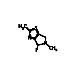 Cc1nc2c(s1)CN(C)C2F